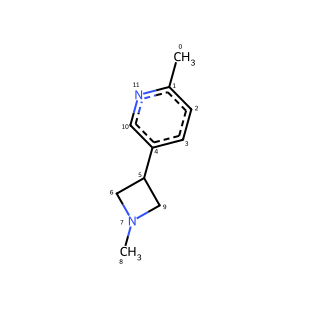 Cc1ccc(C2CN(C)C2)cn1